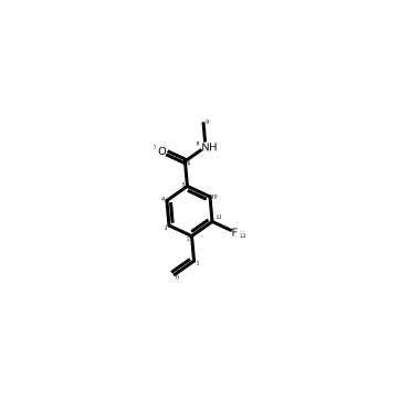 C=Cc1ccc(C(=O)NC)cc1F